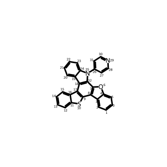 c1ccc2c(c1)oc1c2c2sc3ccccc3c2c2c3ccccc3n(-c3ccncc3)c12